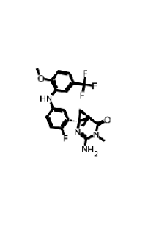 COc1ccc(C(F)(F)F)cc1Nc1ccc(F)c([C@]23CC2(C)C(=O)N(C)C(N)=N3)c1